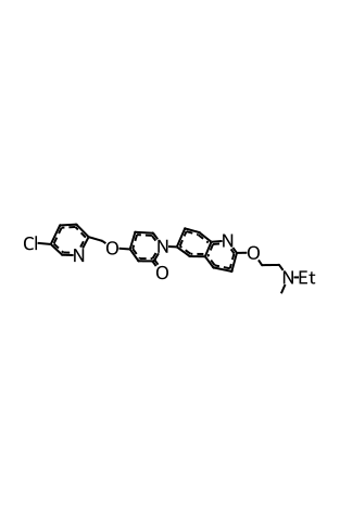 CCN(C)CCOc1ccc2cc(-n3ccc(OCc4ccc(Cl)cn4)cc3=O)ccc2n1